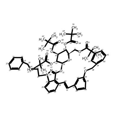 CC(C)(C)C(=O)OC[C@H]1O[C@@H](Oc2nn(CCOCc3ccccc3)c3cccc(C=Cc4cccc(OCc5ccccc5)c4)c23)[C@H](OC(=O)C(C)(C)C)[C@@H](OC(=O)C(C)(C)C)[C@@H]1OC(=O)C(C)(C)C